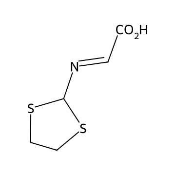 O=C(O)C=NC1SCCS1